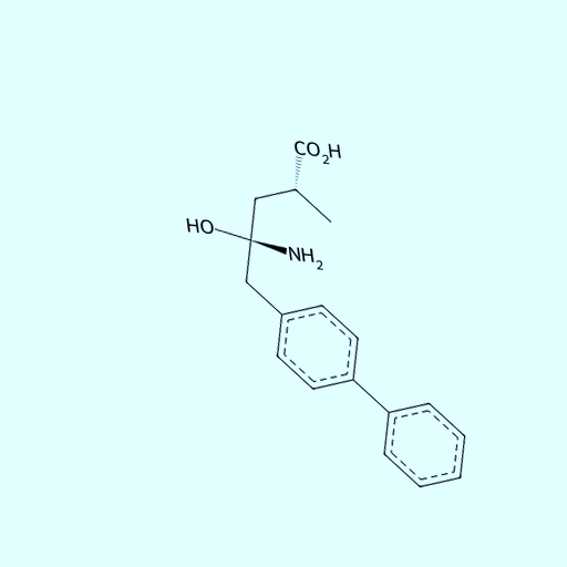 C[C@H](C[C@@](N)(O)Cc1ccc(-c2ccccc2)cc1)C(=O)O